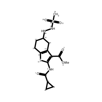 COC(=O)c1c(NC(=O)C2CC2)sc2c1CC(NNS(C)(=O)=O)CC2